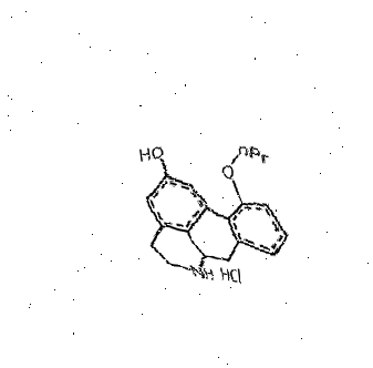 CCCOc1cccc2c1-c1cc(O)cc3c1C(C2)NCC3.Cl